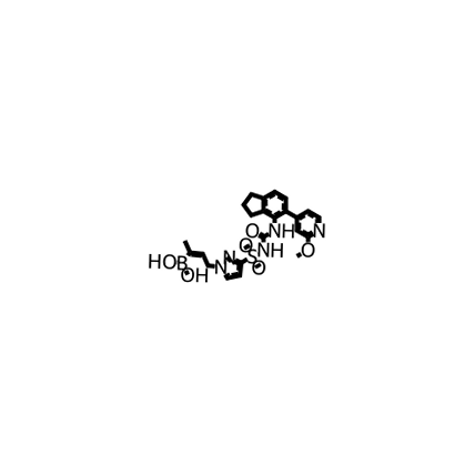 COc1cc(-c2ccc3c(c2NC(=O)NS(=O)(=O)c2ccn(C/C=C(/C)B(O)O)n2)CCC3)ccn1